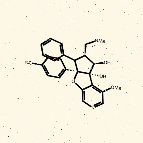 CNC[C@@H]1C(c2ccccc2)[C@]2(c3ccc(C#N)cc3)Oc3cncc(OC)c3[C@]2(O)[C@@H]1O